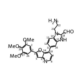 COc1cc(-c2cc3nccc(-c4ccc5c(c4)NC(C=O)N5CCN)c3o2)cc(OC)c1OC